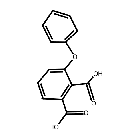 O=C(O)c1[c]ccc(Oc2ccccc2)c1C(=O)O